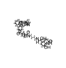 O=C(NCCCCNC[C@H](O)c1ccc(O)c2[nH]c(=O)ccc12)c1ccc(C(=O)N2CCC(C(=O)O[C@H]3CN4CCC3CC4)(c3ccccc3)CC2)s1